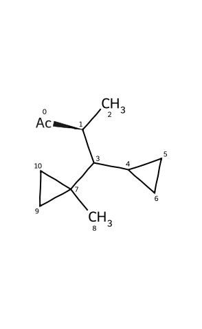 CC(=O)[C@@H](C)C(C1CC1)C1(C)CC1